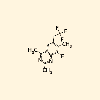 Cc1nc(C)c2cc(CC(F)(F)F)c(C)c(F)c2n1